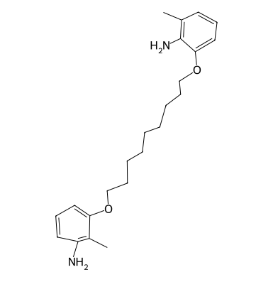 Cc1cccc(OCCCCCCCCCOc2cccc(N)c2C)c1N